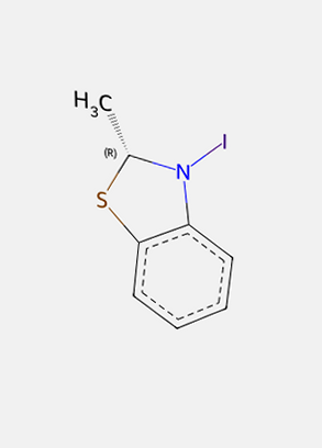 C[C@H]1Sc2ccccc2N1I